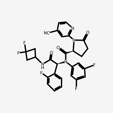 N#Cc1ccnc(N2C(=O)CC[C@H]2C(=O)N(c2cc(F)cc(F)c2)[C@H](C(=O)NC2CC(F)(F)C2)c2ccccc2F)c1